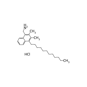 CCCCCCCCCCCCc1c(C)c(C)c(CN)c2ccccc12.Cl